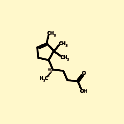 CC1=CCC([C@@H](C)CCC(=O)O)C1(C)C